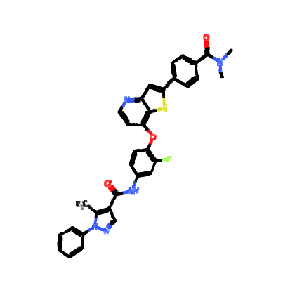 CN(C)C(=O)c1ccc(-c2cc3nccc(Oc4ccc(NC(=O)c5cnn(-c6ccccc6)c5C(F)(F)F)cc4F)c3s2)cc1